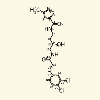 Cc1cc(C(=O)NCC[C@H](O)CNC(=O)COc2ccc(Cl)c(Cl)c2)sn1